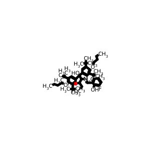 CCCCOc1c(C(C)(C)C)cc(C(O)(c2cc(C(C)(C)C)c(OCCCC)c(C(C)(C)C)c2)C(N=Cc2cccc(F)c2O)C(C)CC)cc1C(C)(C)C